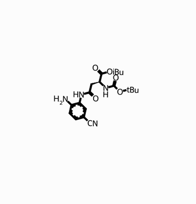 CC(C)COC(=O)[C@H](CC(=O)Nc1cc(C#N)ccc1N)NC(=O)OC(C)(C)C